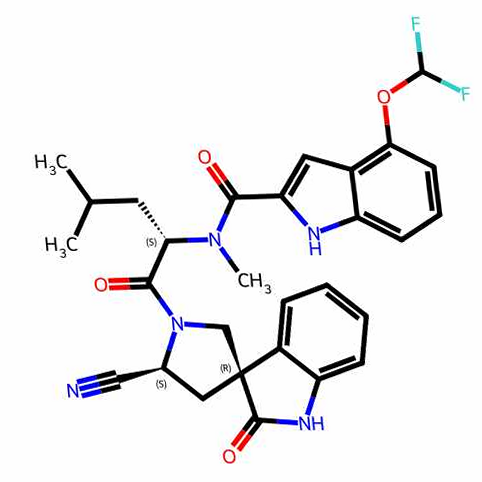 CC(C)C[C@@H](C(=O)N1C[C@]2(C[C@H]1C#N)C(=O)Nc1ccccc12)N(C)C(=O)c1cc2c(OC(F)F)cccc2[nH]1